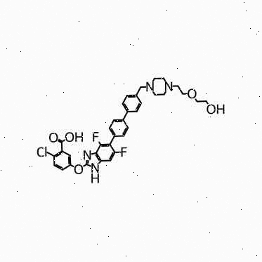 O=C(O)c1cc(Oc2nc3c(F)c(-c4ccc(-c5ccc(CN6CCN(CCOCCO)CC6)cc5)cc4)c(F)cc3[nH]2)ccc1Cl